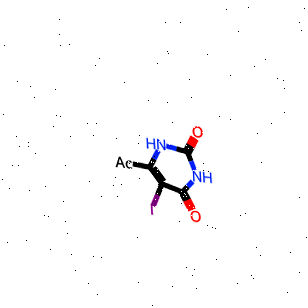 CC(=O)c1[nH]c(=O)[nH]c(=O)c1I